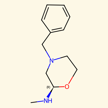 CN[C@H]1CN(Cc2ccccc2)CCO1